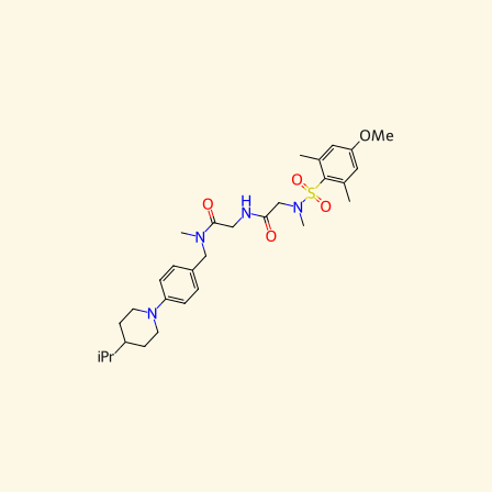 COc1cc(C)c(S(=O)(=O)N(C)CC(=O)NCC(=O)N(C)Cc2ccc(N3CCC(C(C)C)CC3)cc2)c(C)c1